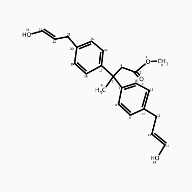 COC(=O)CC(C)(c1ccc(CC=CO)cc1)c1ccc(CC=CO)cc1